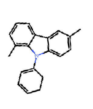 Cc1ccc2c(c1)c1cccc(C)c1n2C1=CC=CCC1